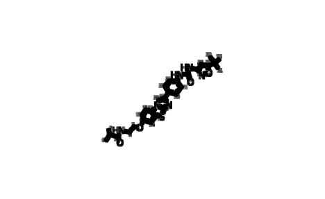 CC(C)C(=O)NCCOc1ccc2c(c1)sc1nc(-c3ccc(NC(=O)Nc4cc(C(C)(C)C)on4)cc3)cn12